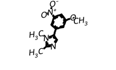 COc1cc(-c2cnc(C)n2C)cc([N+](=O)[O-])c1